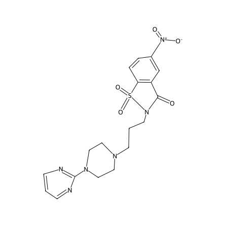 O=C1c2cc([N+](=O)[O-])ccc2S(=O)(=O)N1CCCN1CCN(c2ncccn2)CC1